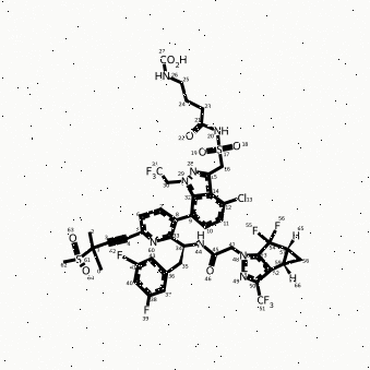 CC(C)(C#Cc1ccc(-c2ccc(Cl)c3c(CS(=O)(=O)NC(=O)CCCNC(=O)O)nn(CC(F)(F)F)c23)c([C@H](Cc2cc(F)cc(F)c2)NC(=O)Cn2nc(C(F)(F)F)c3c2C(F)(F)[C@@H]2C[C@H]32)n1)S(C)(=O)=O